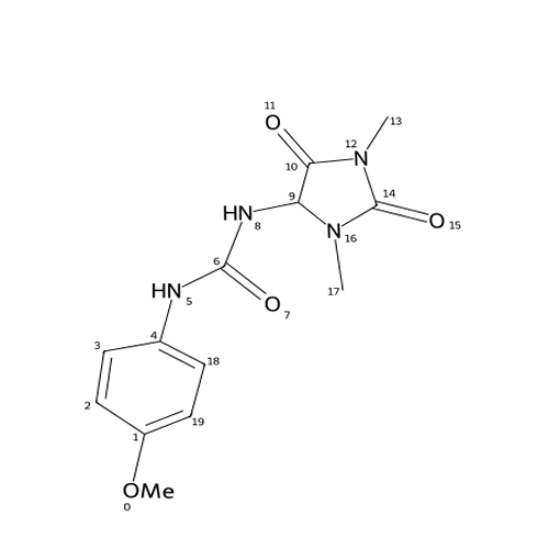 COc1ccc(NC(=O)NC2C(=O)N(C)C(=O)N2C)cc1